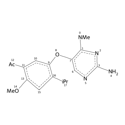 CNc1nc(N)ncc1Oc1cc(C(C)=O)c(OC)cc1C(C)C